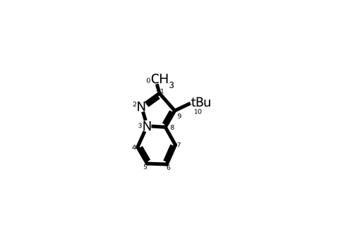 Cc1nn2ccccc2c1C(C)(C)C